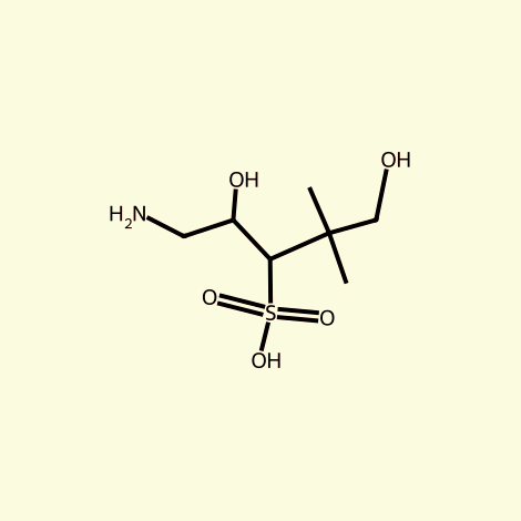 CC(C)(CO)C(C(O)CN)S(=O)(=O)O